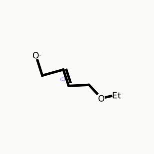 CCOC/C=C/C[O]